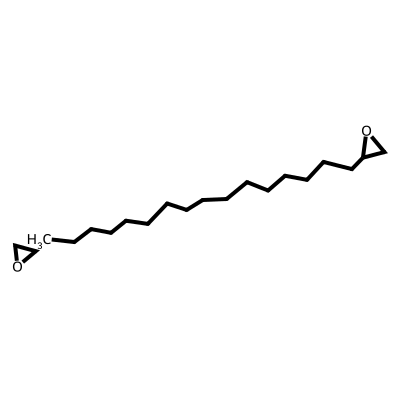 C1CO1.CCCCCCCCCCCCCCCCC1CO1